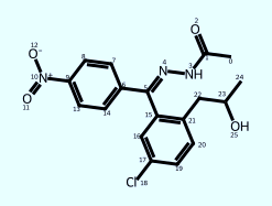 CC(=O)NN=C(c1ccc([N+](=O)[O-])cc1)c1cc(Cl)ccc1CC(C)O